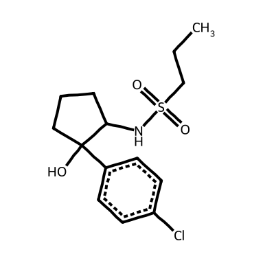 CCCS(=O)(=O)NC1CCCC1(O)c1ccc(Cl)cc1